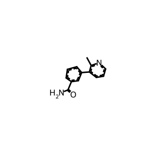 Cc1ncccc1-c1cccc(C(N)=O)c1